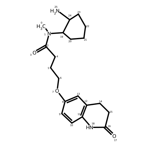 CN(C(=O)CCCOc1ccc2c(c1)CCC(=O)N2)C1CCCCC1N